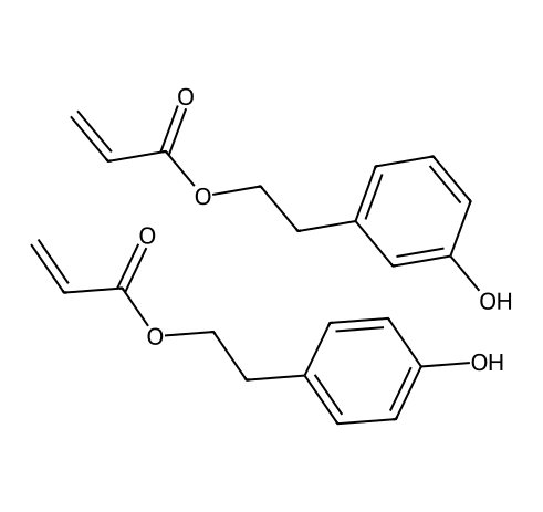 C=CC(=O)OCCc1ccc(O)cc1.C=CC(=O)OCCc1cccc(O)c1